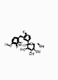 CCOc1ccc(Cc2cc(C3(OC)O[C@H](CO)[C@@H](O)[C@H](O)[C@H]3O)ccc2Cl)c(F)c1F